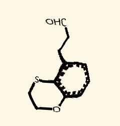 O=CCCc1cccc2c1SCCO2